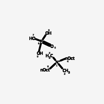 CCCCCCCC[N+](C)(C)CCCCCCCC.O=P(O)(O)O